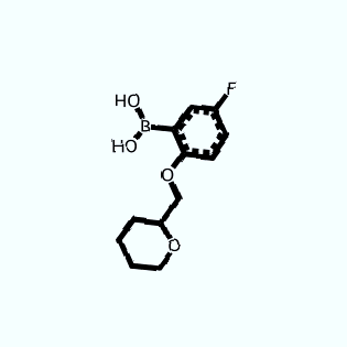 OB(O)c1cc(F)ccc1OCC1CCCCO1